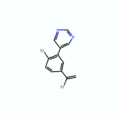 C=C(CC)c1ccc(CC)c(-c2cncnc2)c1